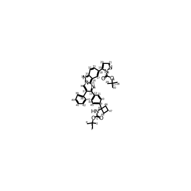 CC(C)(C)OC(=O)NC1(c2ccc(-c3nc4c5cc(-c6ccnn6C(=O)OC(C)(C)C)ccc5nn4cc3-c3ccccc3)cc2)CCC1